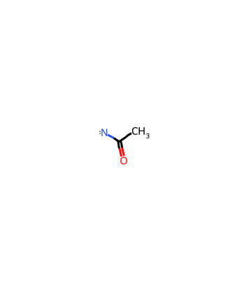 CC([N])=O